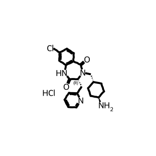 Cl.N[C@H]1CC[C@H](CN2C(=O)c3ccc(Cl)cc3NC(=O)[C@H]2Cc2ccccn2)CC1